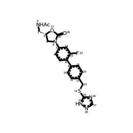 CC(=O)NC[C@H]1CN(c2ccc(-c3ccc(CSc4ncn[nH]4)cc3)c(F)c2)C(=O)O1